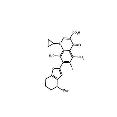 CNC1CCCc2sc(-c3c(F)c(N)c4c(=O)c(C(=O)O)cn(C5CC5)c4c3C)cc21